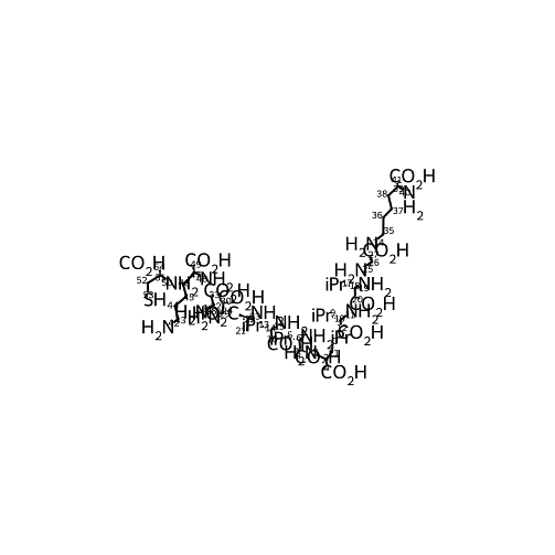 CC(C)C[C@H](N)C(=O)O.CC(C)[C@H](N)C(=O)O.CC(C)[C@H](N)C(=O)O.CC(C)[C@H](N)C(=O)O.CC(C)[C@H](N)C(=O)O.C[C@H](N)C(=O)O.NCC(=O)O.NCC(=O)O.NCC(=O)O.NCCCC[C@H](N)C(=O)O.NCCCC[C@H](N)C(=O)O.N[C@@H](CS)C(=O)O